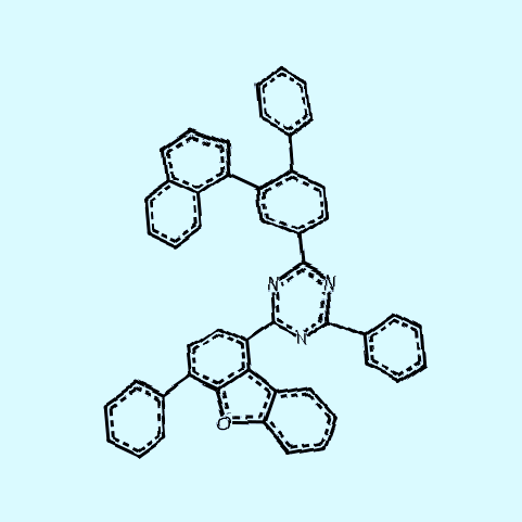 c1ccc(-c2nc(-c3ccc(-c4ccccc4)c(-c4cccc5ccccc45)c3)nc(-c3ccc(-c4ccccc4)c4oc5ccccc5c34)n2)cc1